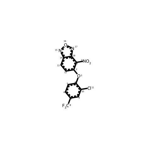 O=[N+]([O-])c1c(Oc2ccc(C(F)(F)F)cc2Cl)ccc2nonc12